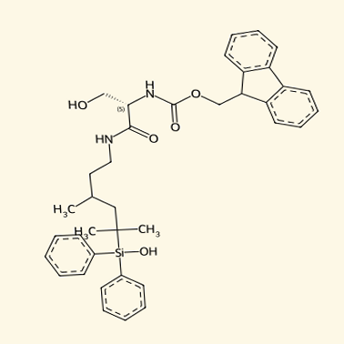 CC(CCNC(=O)[C@H](CO)NC(=O)OCC1c2ccccc2-c2ccccc21)CC(C)(C)[Si](O)(c1ccccc1)c1ccccc1